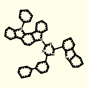 c1ccc(-c2cccc(-c3nc(-c4cccc5c4sc4ccccc45)nc(-n4c5ccccc5c5c4ccc4c6ccccc6n(-c6ccccc6)c45)n3)c2)cc1